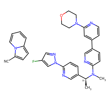 C[C@@H](c1ccc(-n2cc(F)cn2)nc1)N(C)c1ccc(-c2ccnc(N3CCOCC3)c2)cn1.N#Cc1ccc2ccccn12